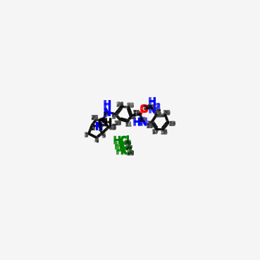 CN1C2CCC1CC(Nc1ccc(C(=O)Nc3ccccc3N)cc1)C2.Cl.Cl.Cl